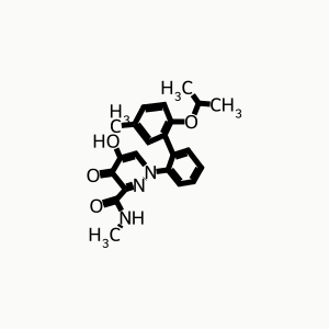 CNC(=O)c1nn(-c2ccccc2-c2cc(C)ccc2OC(C)C)cc(O)c1=O